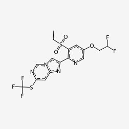 CCS(=O)(=O)c1cc(OCC(F)F)cnc1-c1cn2cnc(SC(F)(F)F)cc2n1